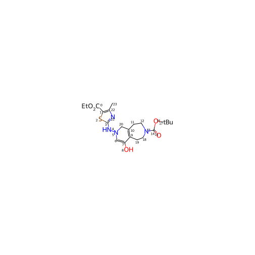 CCOC(=O)c1sc(NN2C=C(O)C3=C(CCN(C(=O)OC(C)(C)C)CC3)C2)nc1C